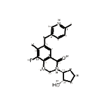 Cc1ccc(Cc2cc3c(c(F)c2C)OCN([C@H]2CCC[C@@H]2O)C3=O)cn1